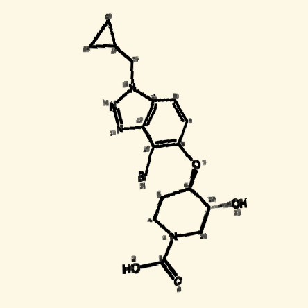 O=C(O)N1CC[C@@H](Oc2ccc3c(nnn3CC3CC3)c2Br)[C@H](O)C1